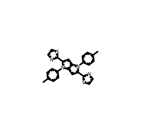 Cc1ccc(-n2c(-c3nccs3)cc3c2cc(-c2nccs2)n3-c2ccc(C)cc2)cc1